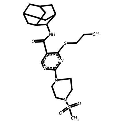 CCCSc1nc(N2CCN(S(C)(=O)=O)CC2)ncc1C(=O)NC1C2CC3CC(C2)CC1C3